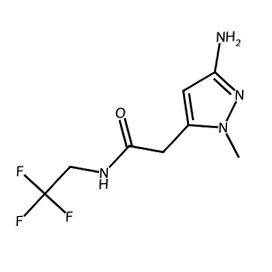 Cn1nc(N)cc1CC(=O)NCC(F)(F)F